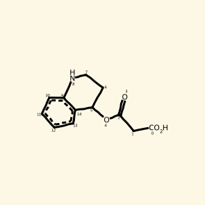 O=C(O)CC(=O)OC1CCNc2ccccc21